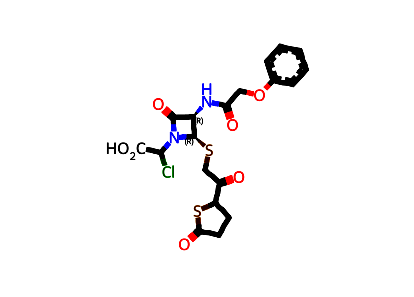 O=C(COc1ccccc1)N[C@@H]1C(=O)N(C(Cl)C(=O)O)[C@@H]1SCC(=O)C1CCC(=O)S1